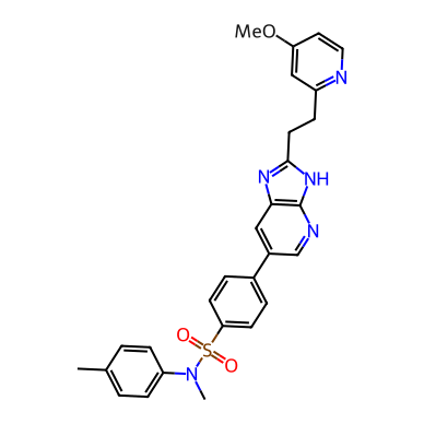 COc1ccnc(CCc2nc3cc(-c4ccc(S(=O)(=O)N(C)c5ccc(C)cc5)cc4)cnc3[nH]2)c1